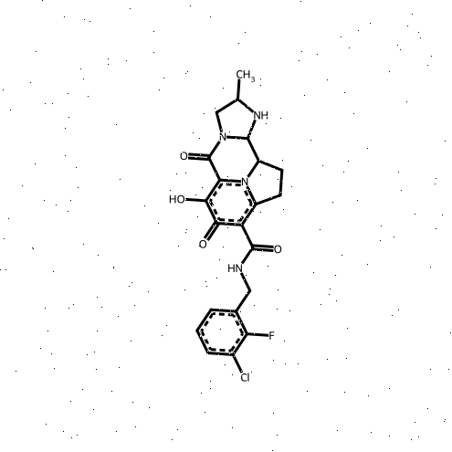 CC1CN2C(=O)c3c(O)c(=O)c(C(=O)NCc4cccc(Cl)c4F)c4n3C(CC4)C2N1